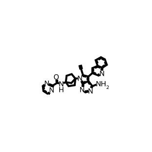 C#Cc1c(-c2cnc3ccccc3c2)c2c(N)ncnc2n1C12CCC(NC(=O)c3ncccn3)(CC1)C2